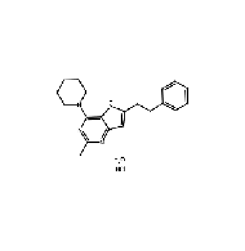 Cc1nc(N2CCCCC2)c2[nH]c(CCc3ccccc3)cc2n1.Cl.O